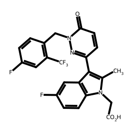 Cc1c(-c2ccc(=O)n(Cc3ccc(F)cc3C(F)(F)F)n2)c2cc(F)ccc2n1CC(=O)O